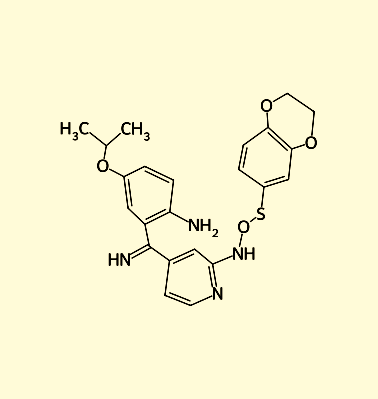 CC(C)Oc1ccc(N)c(C(=N)c2ccnc(NOSc3ccc4c(c3)OCCO4)c2)c1